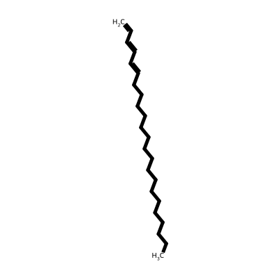 C=CC=CC=CCCCCCCCCCCCCCCCCC